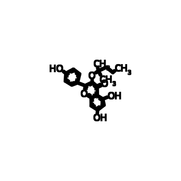 CCCC(C)(C)Oc1c(-c2ccc(O)cc2)oc2cc(O)cc(O)c2c1=O